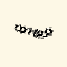 O=C(Nc1ccc2c(c1)OCCO2)N[C@H]1CO[C@H]2[C@@H]1OC[C@@H]2/C=C\c1ccccc1